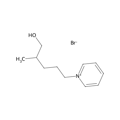 CC(CO)CCC[n+]1ccccc1.[Br-]